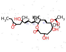 CCC1OC1CC(C)(O)/C=C/C=C(\C)C1OC(=O)CC(O)CCC(C)(O)C(OC(C)=O)/C=C/C1C